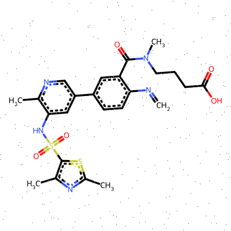 C=Nc1ccc(-c2cnc(C)c(NS(=O)(=O)c3sc(C)nc3C)c2)cc1C(=O)N(C)CCCC(=O)O